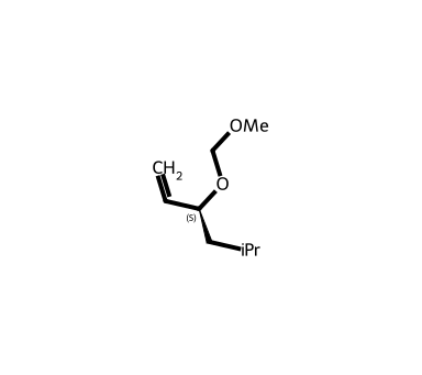 C=C[C@H](CC(C)C)OCOC